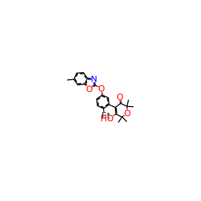 CCc1ccc(Oc2nc3ccc(C)cc3o2)cc1C1=C(O)C(C)(C)OC(C)(C)C1=O